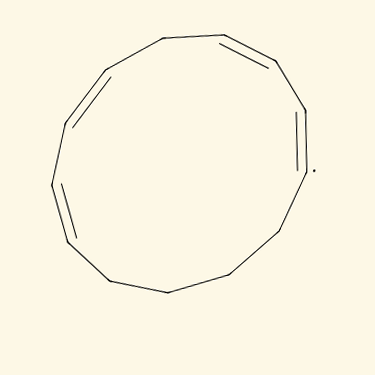 [C]1=CC=CCC=CC=CCCCC1